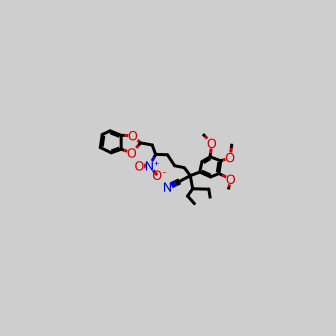 CCC(CC)C(C#N)(CCCC(CC1Oc2ccccc2O1)[N+](=O)[O-])c1cc(OC)c(OC)c(OC)c1